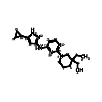 CCC1(CO)CCCN(c2nccc(Nc3cc(C4CC4)[nH]n3)n2)C1